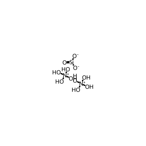 O=[Si]([O-])[O-].O[N+](O)(O)O.O[N+](O)(O)O